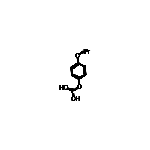 CC(C)Oc1ccc(OP(O)O)cc1